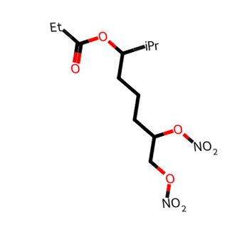 CCC(=O)OC(CCCC(CO[N+](=O)[O-])O[N+](=O)[O-])C(C)C